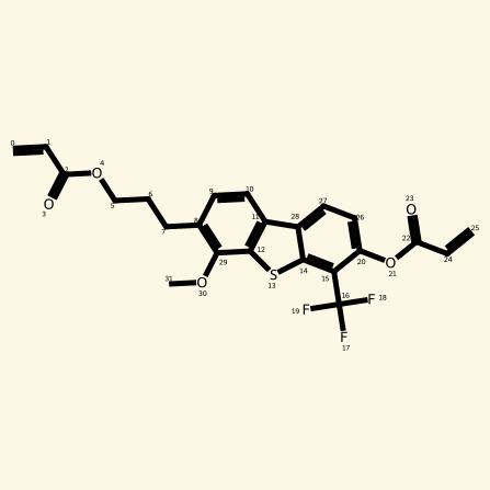 C=CC(=O)OCCCc1ccc2c(sc3c(C(F)(F)F)c(OC(=O)C=C)ccc32)c1OC